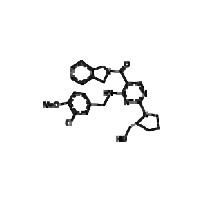 COc1ccc(CNc2nc(N3CCC[C@@H]3CO)ncc2C(=O)N2Cc3ccccc3C2)cc1Cl